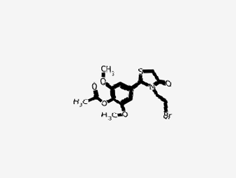 COc1cc(C2SCC(=O)N2CCBr)cc(OC)c1OC(C)=O